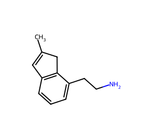 CC1=Cc2cccc(CCN)c2C1